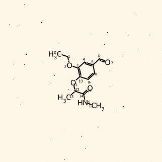 CCOc1cc(C=O)ccc1OC(C)C(=O)NC